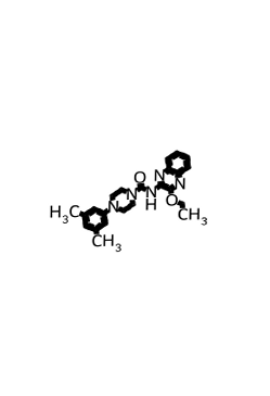 CCOc1nc2ccccc2nc1NC(=O)N1CCN(c2cc(C)cc(C)c2)CC1